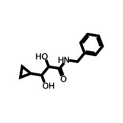 O=C(NCc1ccccc1)C(O)C(O)C1CC1